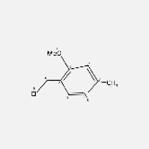 COc1cc(C)ncc1CCl